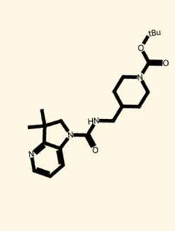 CC(C)(C)OC(=O)N1CCC(CNC(=O)N2CC(C)(C)c3ncccc32)CC1